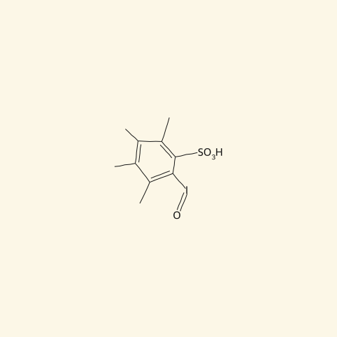 Cc1c(C)c(C)c(S(=O)(=O)O)c(I=O)c1C